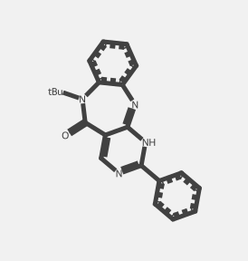 CC(C)(C)N1C(=O)C2=CN=C(c3ccccc3)NC2=Nc2ccccc21